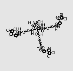 C[C@@H](O)[C@H](NC(=O)NC(CCC(=O)NCCOCCOCCNS(=O)(=O)c1cccc([C@@H]2CN(C)Cc3c(Cl)cc(Cl)cc32)c1)(CCC(=O)NCCOCCOCCNS(=O)(=O)c1cccc([C@@H]2CN(C)Cc3c(Cl)cc(Cl)cc32)c1)CCC(=O)NCCOCCOCCNS(=O)(=O)c1cccc([C@@H]2CN(C)Cc3c(Cl)cc(Cl)cc32)c1)C(N)=O